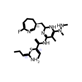 C=C(NC1=NC(C[C@H]2C=NC(F)=CCC2)NC(N(C)NC)=C1C)/C(=C/C)S/C(N)=C\CC